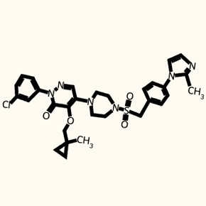 Cc1nccn1-c1ccc(CS(=O)(=O)N2CCN(c3cnn(-c4cccc(Cl)c4)c(=O)c3OCC3(C)CC3)CC2)cc1